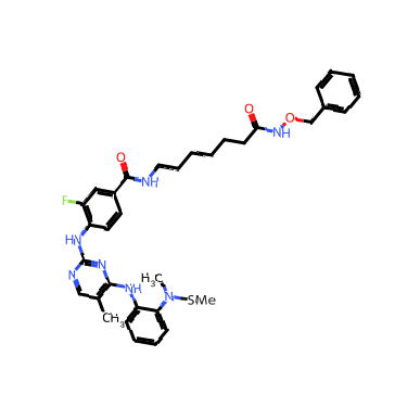 CSN(C)c1ccccc1Nc1nc(Nc2ccc(C(=O)NCCCCCCC(=O)NOCc3ccccc3)cc2F)ncc1C